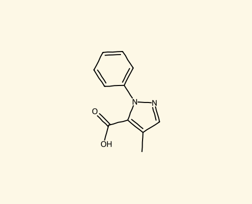 Cc1cnn(-c2ccccc2)c1C(=O)O